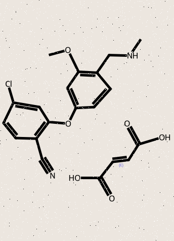 CNCc1ccc(Oc2cc(Cl)ccc2C#N)cc1OC.O=C(O)/C=C/C(=O)O